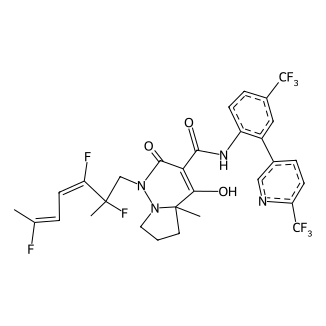 C/C(F)=C\C=C(\F)C(C)(F)CN1C(=O)C(C(=O)Nc2ccc(C(F)(F)F)cc2-c2ccc(C(F)(F)F)nc2)=C(O)C2(C)CCCN12